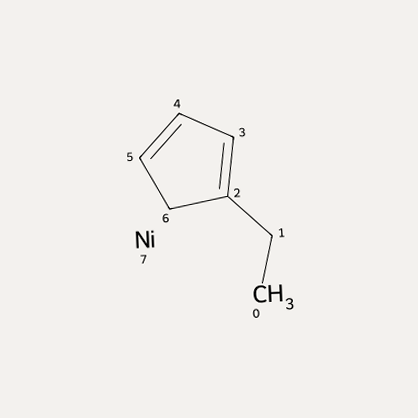 CCC1=CC=CC1.[Ni]